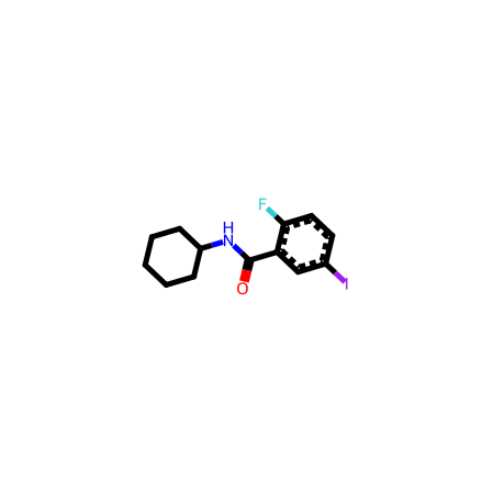 O=C(NC1CCCCC1)c1cc(I)ccc1F